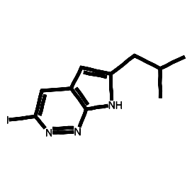 CC(C)Cc1cc2cc(I)nnc2[nH]1